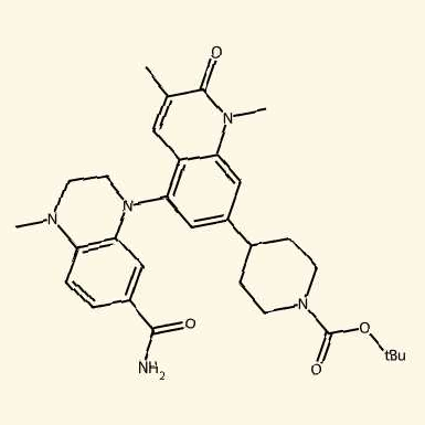 Cc1cc2c(N3CCN(C)c4ccc(C(N)=O)cc43)cc(C3CCN(C(=O)OC(C)(C)C)CC3)cc2n(C)c1=O